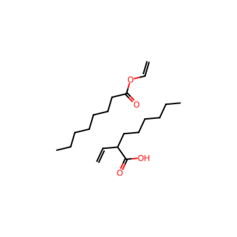 C=CC(CCCCCC)C(=O)O.C=COC(=O)CCCCCCC